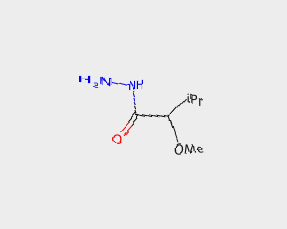 COC(C(=O)NN)C(C)C